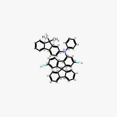 CC1(C)c2ccccc2-c2ccc(N(c3ccccc3)c3cc(F)cc4c3-c3ccc(F)cc3C43c4ccccc4-c4ccccc43)cc21